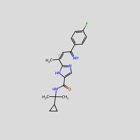 C/C(=C/C(=N)c1ccc(F)cc1)c1ncc(C(=O)NC(C)(C)C2CC2)[nH]1